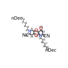 CCCCCCCCCCCCCCCCn1cc(Oc2cn(CCCCCCCCCCCCCCCC)c(C#N)cc2=O)c(=O)cc1C#N